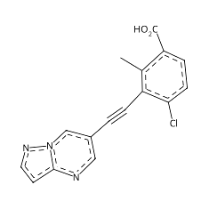 Cc1c(C(=O)O)ccc(Cl)c1C#Cc1cnc2ccnn2c1